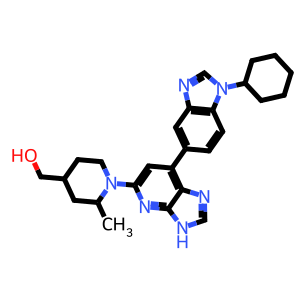 CC1CC(CO)CCN1c1cc(-c2ccc3c(c2)ncn3C2CCCCC2)c2nc[nH]c2n1